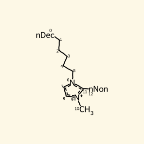 CCCCCCCCCCCCCCCn1cc[n+](C)c1CCCCCCCCC